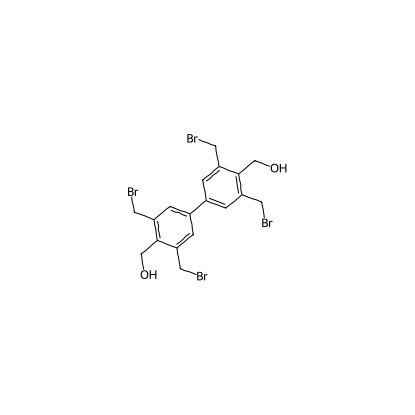 OCc1c(CBr)cc(-c2cc(CBr)c(CO)c(CBr)c2)cc1CBr